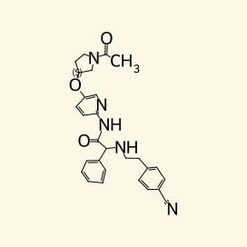 CC(=O)N1CC[C@H](Oc2ccc(NC(=O)C(NCCc3ccc(C#N)cc3)c3ccccc3)nc2)C1